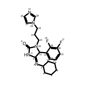 O=C1N/C(=N/C2CCCCC2)C(c2cccc(F)c2F)N1CCCn1ccnc1